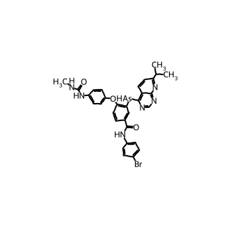 CNC(=O)Nc1ccc(Oc2ccc(C(=O)Nc3ccc(Br)cc3)cc2[AsH]c2ncnc3nc(C(C)C)ccc23)cc1